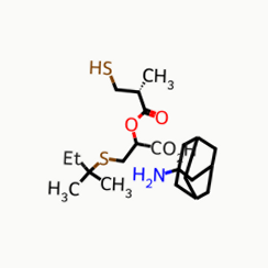 CCC(C)(C)SCC(OC(=O)[C@@H](C)CS)C(=O)O.NC12CC3CC(CC(C3)C1)C2